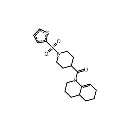 O=C(C1CCN(S(=O)(=O)c2cccs2)CC1)N1CCCC2CCCC=C21